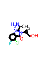 C[C@H](N)c1nc2ccc(F)c(Cl)c2c(=O)n1C1CC1CO